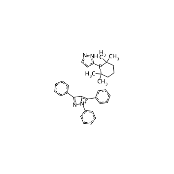 CC1(C)CCCC(C)(C)P1c1ccn[nH]1.c1ccc(C2=N[N+]3(c4ccccc4)C2=C3c2ccccc2)cc1